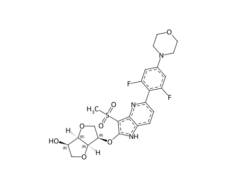 CS(=O)(=O)c1c(O[C@@H]2CO[C@H]3[C@@H]2OC[C@H]3O)[nH]c2ccc(-c3c(F)cc(N4CCOCC4)cc3F)nc12